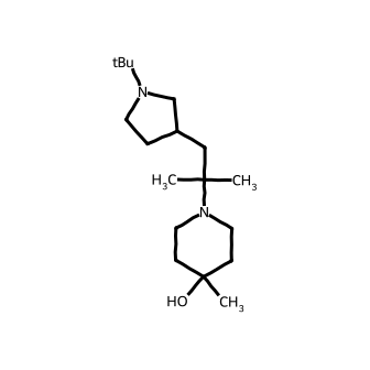 CC1(O)CCN(C(C)(C)CC2CCN(C(C)(C)C)C2)CC1